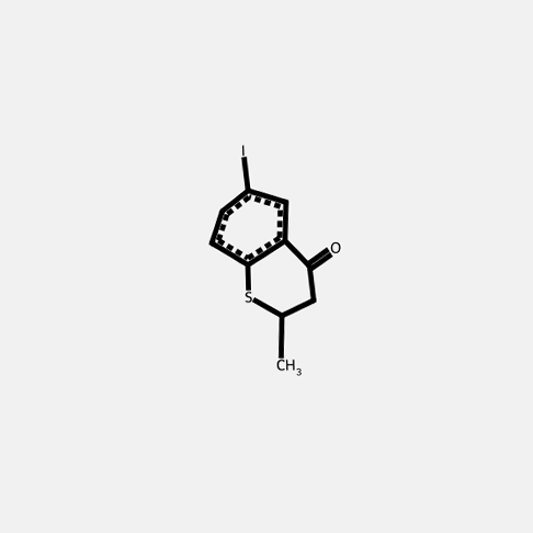 CC1CC(=O)c2cc(I)ccc2S1